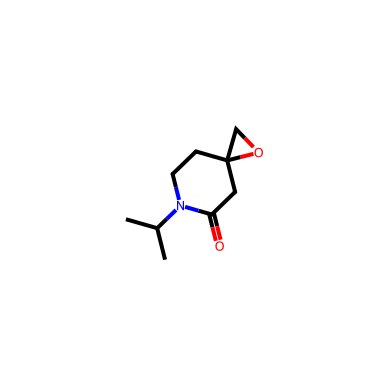 CC(C)N1CCC2(CO2)CC1=O